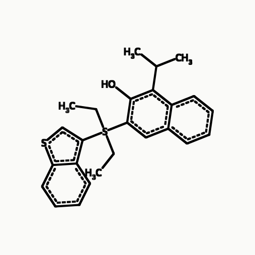 CCS(CC)(c1cc2ccccc2c(C(C)C)c1O)c1csc2ccccc12